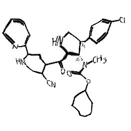 CN(C(=O)OC1CCCCC1)[C@@H]1C(C(=O)C2CC(c3ccccn3)NCC2C#N)NC[C@H]1c1ccc(Cl)cc1